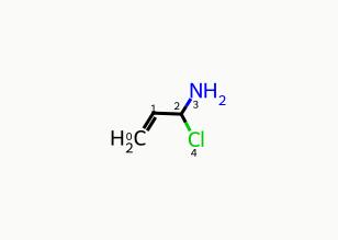 C=CC(N)Cl